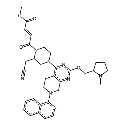 COC(=O)/C=C/C(=O)N1CCN(c2nc(OCC3CCCN3C)nc3c2CCN(c2nccc4ccccc24)C3)CC1CC#N